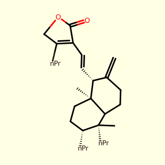 C=C1CCC2[C@](C)(CCC)[C@H](CCC)CC[C@@]2(C)[C@@H]1/C=C/C1=C(CCC)COC1=O